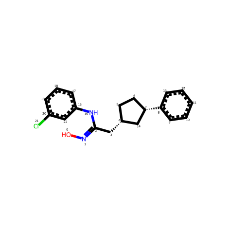 O/N=C(/C[C@@H]1CC[C@H](c2ccccc2)C1)Nc1cccc(Cl)c1